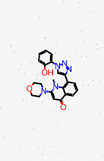 Cn1c(N2CCOCC2)cc(=O)c2cccc(-c3cn(-c4ccccc4O)nn3)c21